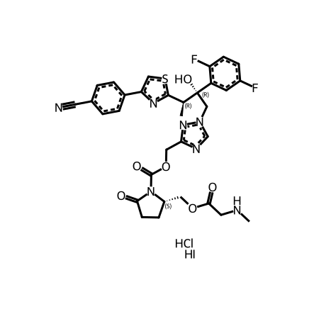 CNCC(=O)OC[C@@H]1CCC(=O)N1C(=O)OCc1ncn(C[C@](O)(c2cc(F)ccc2F)[C@@H](C)c2nc(-c3ccc(C#N)cc3)cs2)n1.Cl.I